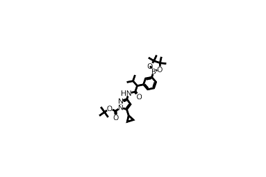 CC(C)C(C(=O)Nc1cc(C2CC2)n(C(=O)OC(C)(C)C)n1)c1cccc(B2OC(C)(C)C(C)(C)O2)c1